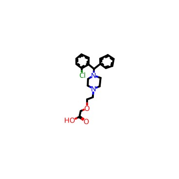 O=C(O)COCCN1CCN(C(c2ccccc2)c2ccccc2Cl)CC1